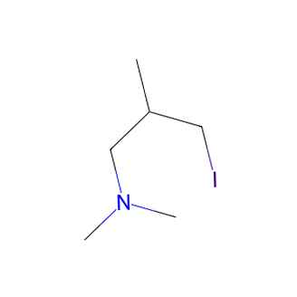 CC(CI)CN(C)C